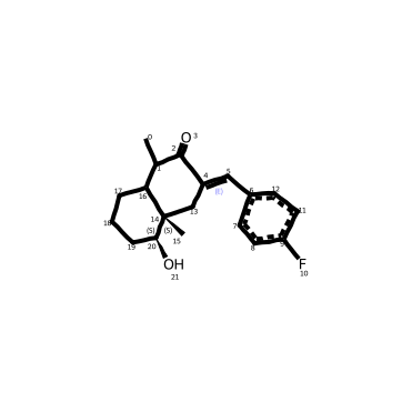 CC1C(=O)/C(=C/c2ccc(F)cc2)C[C@@]2(C)C1CCC[C@@H]2O